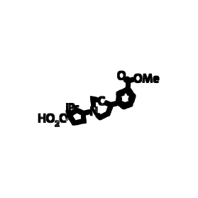 COC(=O)c1cccc(C2CCN(C3CC[C@@](C(=O)O)(C(C)C)C3)CC2)c1